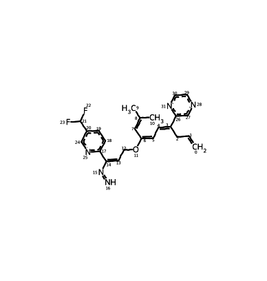 C=CC/C(=C\C=C(/C=C(C)C)OC/C=C(/N=N)c1ccc(C(F)F)cn1)c1cnccn1